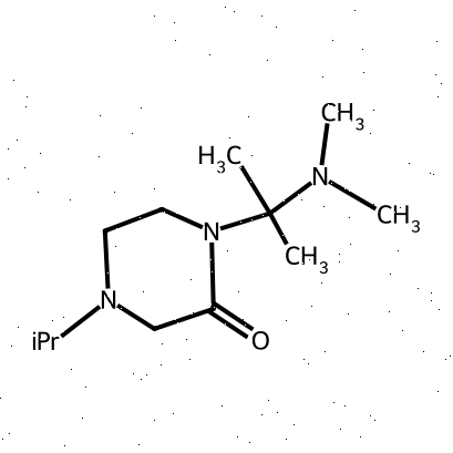 CC(C)N1CCN(C(C)(C)N(C)C)C(=O)C1